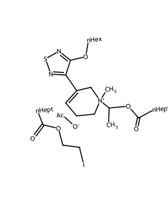 CC(=O)[O-].CCCCCCCC(=O)OC(C)[N+]1(C)CCC=C(c2nsnc2OCCCCCC)C1.CCCCCCCC(=O)OCCI